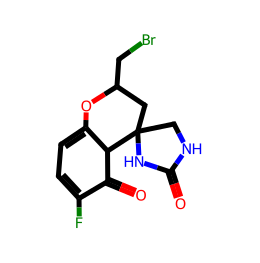 O=C1NCC2(CC(CBr)OC3=CC=C(F)C(=O)C32)N1